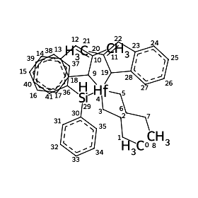 CCC[CH2][Hf]([CH2]CCC)([CH]1C(C)=Cc2ccccc21)([CH]1C(C)=Cc2ccccc21)[SiH](c1ccccc1)c1ccccc1